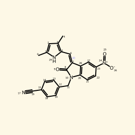 Cc1cc(C)c(/C=C2\C(=O)N(Cc3ccc(C#N)cc3)c3ccc([N+](=O)[O-])cc32)[nH]1